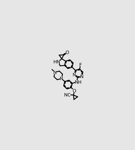 CN1CCN(c2ccc(OC3(C#N)CC3)c(Nc3ncc(F)c(-c4ccc5c(c4)CNC54CC4=O)n3)c2)CC1